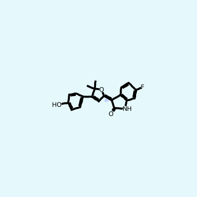 CC1(C)O/C(=C2/C(=O)Nc3cc(F)ccc32)C=C1c1ccc(O)cc1